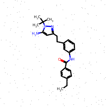 CCc1ccc(C(=O)Nc2cccc(CCc3cc(N)n(C(C)(C)C)n3)c2)cc1